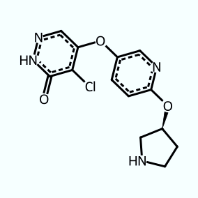 O=c1[nH]ncc(Oc2ccc(O[C@H]3CCNC3)nc2)c1Cl